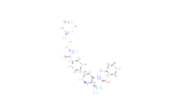 O=C(NCCCN1CCOCC1)c1ccc(-c2cnc3c(c2)N(Cc2ccccc2)C(=O)CN3)cc1